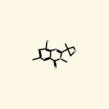 Cc1cc(Br)c2nc(C3(C)COC3)n(C)c(=O)c2c1